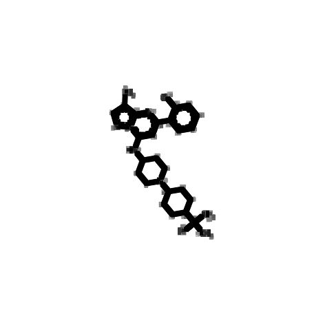 Bc1cnn2c(NC3CCN(C4CCC(C(C)(C)CC)CC4)CC3)cc(-c3ccccc3Cl)nc12